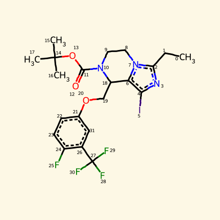 CCc1nc(I)c2n1CCN(C(=O)OC(C)(C)C)C2COc1ccc(F)c(C(F)(F)F)c1